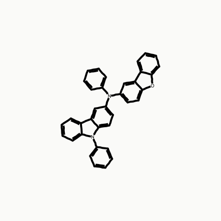 c1ccc(N(c2ccc3oc4ccccc4c3c2)c2ccc3c(c2)c2ccccc2n3-c2ccccc2)cc1